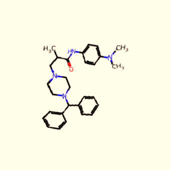 CC(CN1CCN(C(c2ccccc2)c2ccccc2)CC1)C(=O)Nc1ccc(N(C)C)cc1